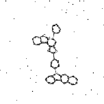 c1ccc(-c2cc3oc(-c4ccc(-n5c6ccccc6c6cc7ccccc7cc65)cc4)nc3c3c2oc2ccccc23)cc1